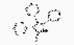 S=c1[nH]c(-c2ccccc2)c(-c2ccccc2)n1-c1ccccc1